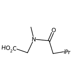 CC(C)CC(=O)N(C)CC(=O)O